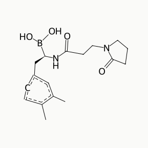 Cc1ccc(C[C@H](NC(=O)CCN2CCCC2=O)B(O)O)cc1C